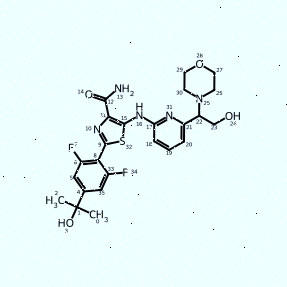 CC(C)(O)c1cc(F)c(-c2nc(C(N)=O)c(Nc3cccc(C(CO)N4CCOCC4)n3)s2)c(F)c1